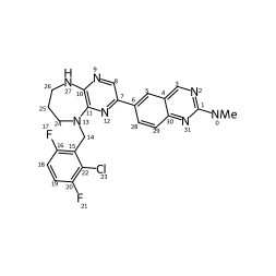 CNc1ncc2cc(-c3cnc4c(n3)N(Cc3c(F)ccc(F)c3Cl)CCCN4)ccc2n1